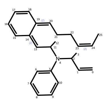 C=CC(C)N(c1ccccc1)C(C)/C=c1/cccc/c1=C/CC/C=C\C